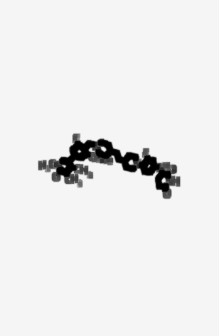 COc1cc(-c2cn(C)c(=O)c(C)c2C)cc(F)c1CN1CCC(CCC2CCN(c3ccc(NC4CCC(=O)NC4=O)cc3F)CC2)CC1